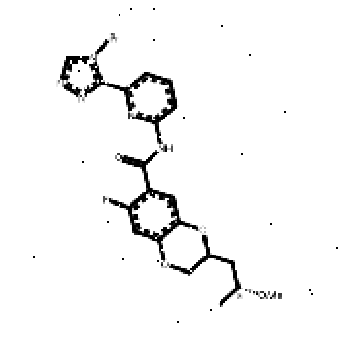 CO[C@H](C)CC1COc2cc(F)c(C(=O)Nc3cccc(-c4nncn4C(C)C)n3)cc2O1